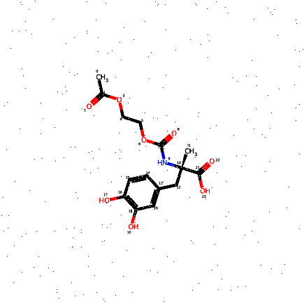 CC(=O)OCCOC(=O)N[C@@](C)(Cc1ccc(O)c(O)c1)C(=O)O